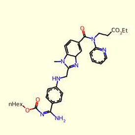 CCCCCCOC(=O)/N=C(/N)c1ccc(NCC2=NC3C=C(C(=O)N(CCC(=O)OCC)c4ccccn4)C=C=C3N2C)cc1